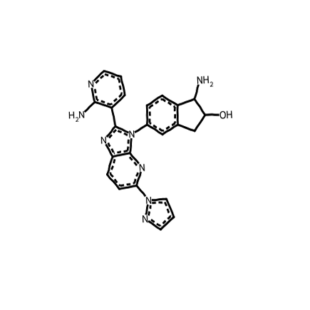 Nc1ncccc1-c1nc2ccc(-n3cccn3)nc2n1-c1ccc2c(c1)CC(O)C2N